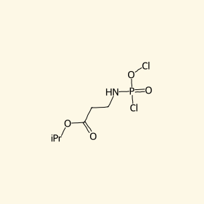 CC(C)OC(=O)CCNP(=O)(Cl)OCl